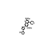 CNc1cc(C2CCOCC2)c2cc(OC)c(-n3cc([C@H]4CCCN4)nn3)cc2n1